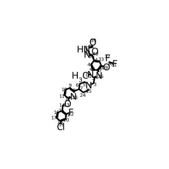 Cn1c(CN2CCC(c3cccc(OCc4ccc(Cl)cc4F)n3)CC2)nc2c(OC(F)F)cc(-c3n[nH]c(=O)o3)cc21